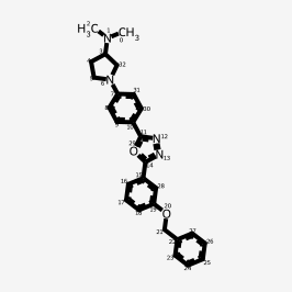 CN(C)C1CCN(c2ccc(-c3nnc(-c4cccc(OCc5ccccc5)c4)o3)cc2)C1